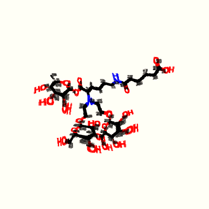 C[C@@H]1O[C@@H](OC(=O)C(CCCCNC(=O)CCCCC(=O)O)N(CCO[C@H]2O[C@H](CO)[C@@H](O)[C@H](O)[C@@H]2O)CCO[C@H]2O[C@H](CO)[C@@H](O)[C@H](O)[C@@H]2O)[C@@H](O)[C@H](O)[C@@H]1O